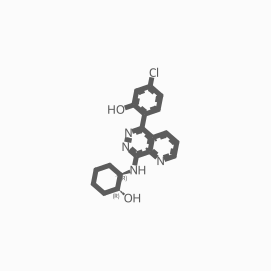 Oc1cc(Cl)ccc1-c1nnc(N[C@@H]2CCCC[C@H]2O)c2ncccc12